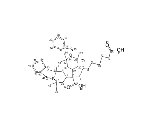 CC1(C)CC(C(CCCCCCCC(=O)O)(C(=O)O)C2CC(C)(C)N(Sc3ccccc3)C(C)(C)C2)CC(C)(C)N1Sc1ccccc1